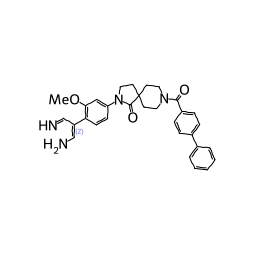 COc1cc(N2CCC3(CCN(C(=O)c4ccc(-c5ccccc5)cc4)CC3)C2=O)ccc1/C(C=N)=C/N